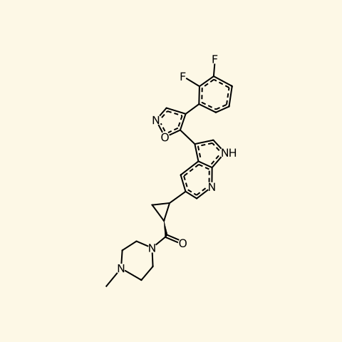 CN1CCN(C(=O)[C@H]2CC2c2cnc3[nH]cc(-c4oncc4-c4cccc(F)c4F)c3c2)CC1